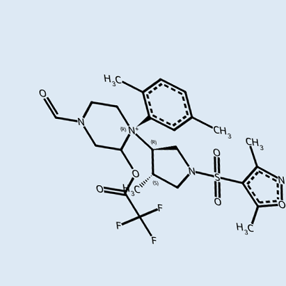 Cc1ccc(C)c([N@+]2([C@H]3CN(S(=O)(=O)c4c(C)noc4C)C[C@@H]3C)CCN(C=O)CC2OC(=O)C(F)(F)F)c1